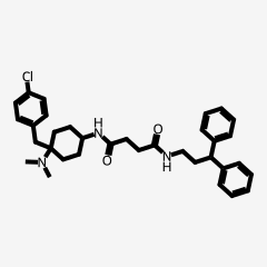 CN(C)C1(Cc2ccc(Cl)cc2)CCC(NC(=O)CCC(=O)NCCC(c2ccccc2)c2ccccc2)CC1